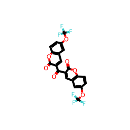 O=C(c1cc2cc(OC(F)(F)F)ccc2oc1=O)c1cc2cc(OC(F)(F)F)ccc2oc1=O